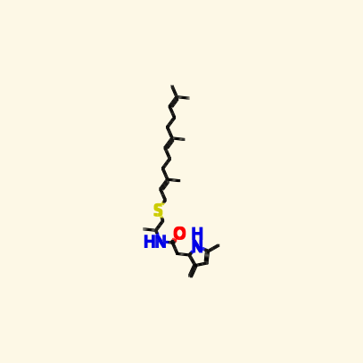 C=C1C=C(C)NC1CC(=O)NC(C)CSC/C=C(\C)CC/C=C(\C)CCC=C(C)C